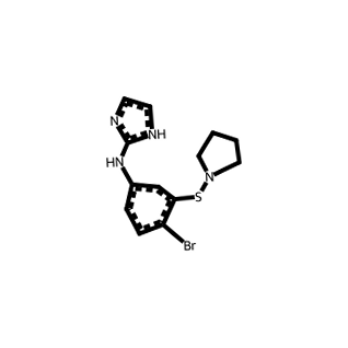 Brc1ccc(Nc2ncc[nH]2)cc1SN1CCCC1